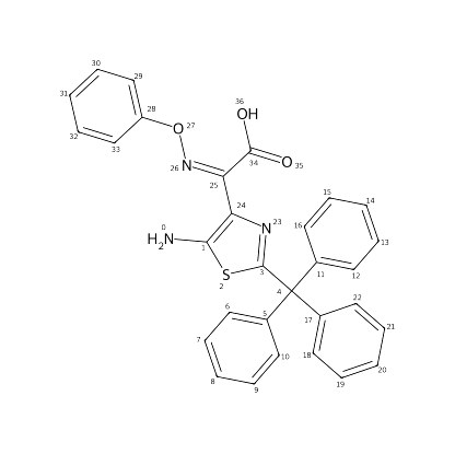 Nc1sc(C(c2ccccc2)(c2ccccc2)c2ccccc2)nc1C(=NOc1ccccc1)C(=O)O